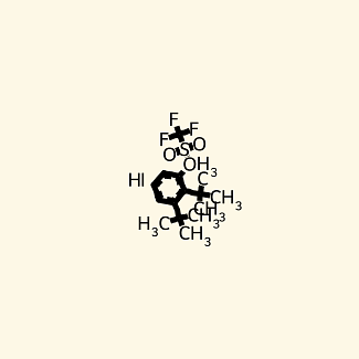 CC(C)(C)c1cccc(OS(=O)(=O)C(F)(F)F)c1C(C)(C)C.I